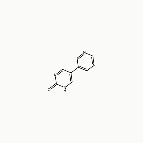 O=c1ncc(-c2cncnc2)c[nH]1